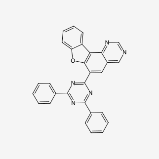 c1ccc(-c2nc(-c3ccccc3)nc(-c3cc4cncnc4c4c3oc3ccccc34)n2)cc1